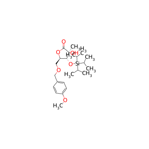 COc1ccc(COC[C@H]2OC(=O)[C@@](C)(O)[C@@H]2O[Si](C(C)C)(C(C)C)C(C)C)cc1